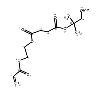 C=CC(=O)OCCOC(=O)CCC(=O)OC(C)(C)COC